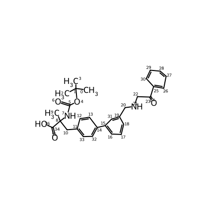 CC(C)(C)OC(=O)NC(C)(Cc1ccc(-c2cccc(CNCC(=O)c3ccccc3)c2)cc1)C(=O)O